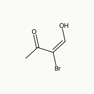 CC(=O)/C(Br)=C\O